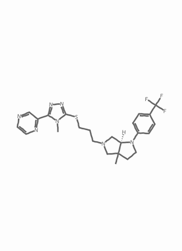 Cn1c(SCCCN2C[C@H]3N(c4ccc(C(F)(F)F)cc4)CCC3(C)C2)nnc1-c1cnccn1